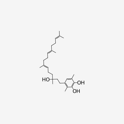 CC(C)=CCC/C(C)=C/CC/C(C)=C/CCC(C)(O)CCc1cc(C)c(O)c(O)c1C